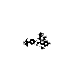 Cc1n[nH]c(C)c1-c1ccc(NC(=O)[C@@H](NC(=O)c2ccnn2C(C)C)[C@H]2CCOc3cc(F)ccc32)cc1